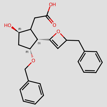 O=C(O)CC1[C@H](O)C[C@@H](OCc2ccccc2)[C@H]1C1=CC(Cc2ccccc2)O1